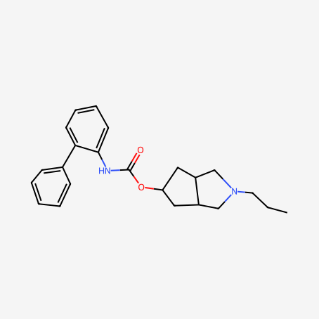 CCCN1CC2CC(OC(=O)Nc3ccccc3-c3ccccc3)CC2C1